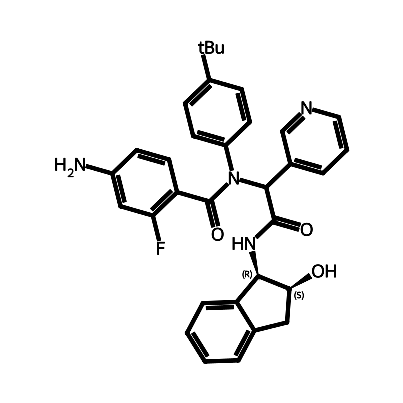 CC(C)(C)c1ccc(N(C(=O)c2ccc(N)cc2F)C(C(=O)N[C@@H]2c3ccccc3C[C@@H]2O)c2cccnc2)cc1